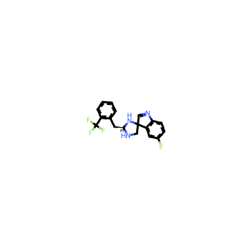 Fc1ccc2c(c1)C1(C=N2)CN[C@@H](Cc2ccccc2C(F)(F)F)N1